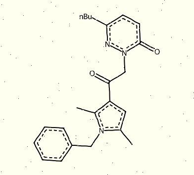 CCCCc1ccc(=O)n(CC(=O)c2cc(C)n(Cc3ccccc3)c2C)n1